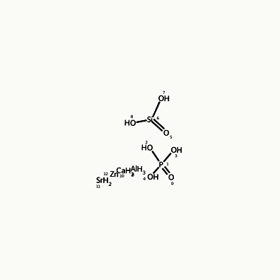 O=P(O)(O)O.O=[Si](O)O.[AlH3].[CaH2].[SrH2].[Zn]